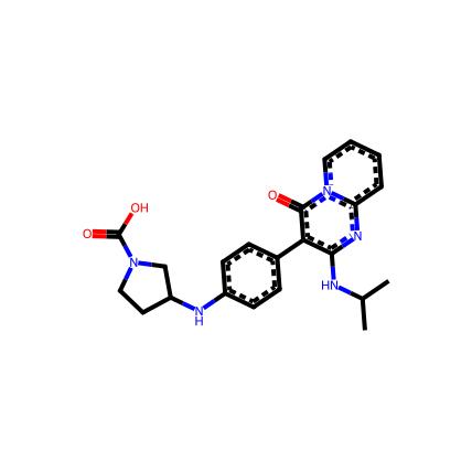 CC(C)Nc1nc2ccccn2c(=O)c1-c1ccc(NC2CCN(C(=O)O)C2)cc1